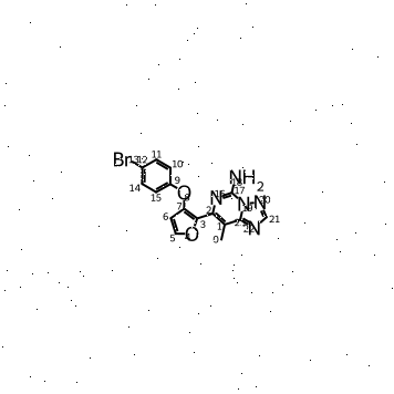 Cc1c(-c2occc2Oc2ccc(Br)cc2)nc(N)n2ncnc12